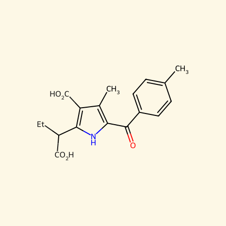 CCC(C(=O)O)c1[nH]c(C(=O)c2ccc(C)cc2)c(C)c1C(=O)O